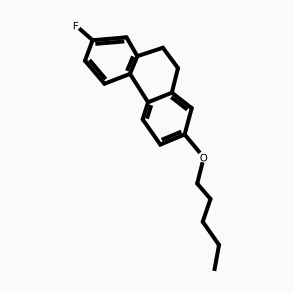 CCCCCOc1ccc2c(c1)CCc1cc(F)ccc1-2